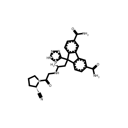 C[C@@H](CC1(c2nn[nH]n2)c2ccc(C(N)=O)cc2-c2cc(C(N)=O)ccc21)NCC(=O)N1CCC[C@H]1C#N